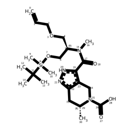 C=CCOC[C@H](CO[Si](C)(C)C(C)(C)C)N(C)C(=O)c1[nH]nc2c1CN(C(=O)O)[C@H](C)C2